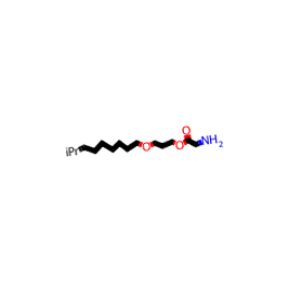 CC(C)CCCCCCCOCCCOC(=O)CN